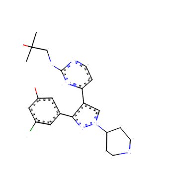 CC(C)(O)CNc1nccc(-c2cn(C3CCNCC3)nc2-c2cc(O)cc(Cl)c2)n1